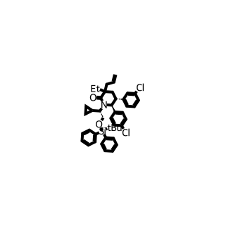 C=CCC1(CC)C[C@H](c2cccc(Cl)c2)[C@@H](c2ccc(Cl)cc2)N([C@H](CO[Si](c2ccccc2)(c2ccccc2)C(C)(C)C)C2CC2)C1=O